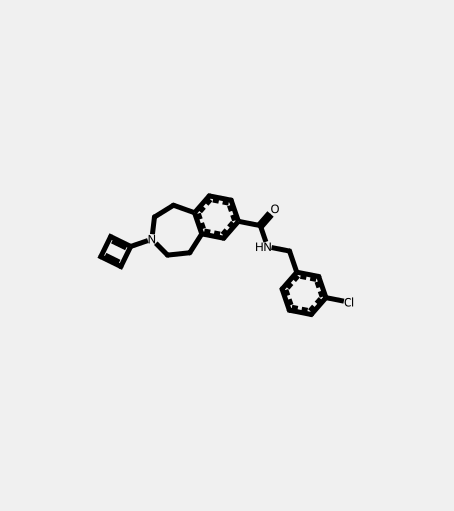 O=C(NCc1cccc(Cl)c1)c1ccc2c(c1)CCN(C1=CC=C1)CC2